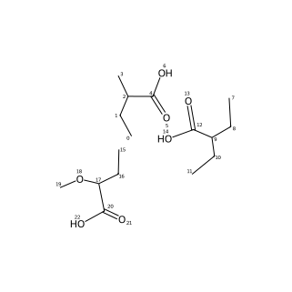 CCC(C)C(=O)O.CCC(CC)C(=O)O.CCC(OC)C(=O)O